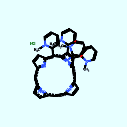 CN1C=CC=CC1c1c(C2C=CC=CN2C)c2c(C3C=CC=CN3C)c3nc(cc4ccc(cc5nc(cc1n2C1C=CC=CN1C)C=C5)[nH]4)C=C3.Cl